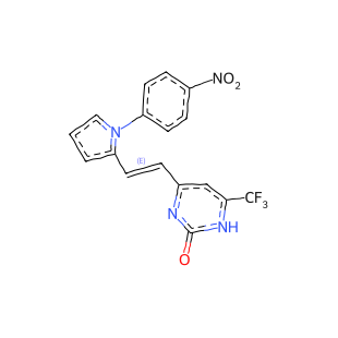 O=c1nc(/C=C/c2cccn2-c2ccc([N+](=O)[O-])cc2)cc(C(F)(F)F)[nH]1